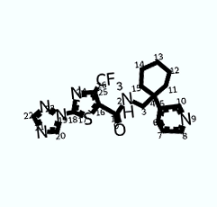 O=C(NCC1(c2cccnc2)CCCCC1)c1sc(-n2cncn2)nc1C(F)(F)F